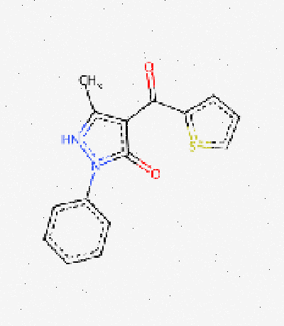 Cc1[nH]n(-c2ccccc2)c(=O)c1C(=O)c1cccs1